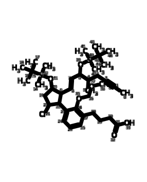 CC#CCC(C)C(C=CC1C(O[Si](C)(C)C(C)(C)C)CC(Cl)C1c1cccc(CCCC(=O)O)c1OCOC)O[Si](C)(C)C(C)(C)C